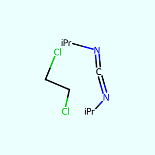 CC(C)N=C=NC(C)C.ClCCCl